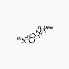 CON(C)C(=O)C(F)(F)C(C)[C@H]1CC[C@H]2[C@@H](O[Si](C)(C)C(C)(C)C)CCC[C@]12C